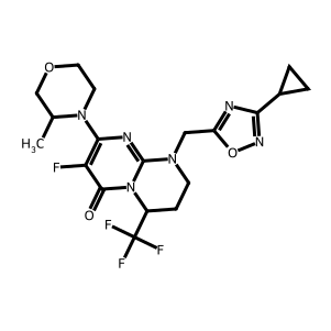 CC1COCCN1c1nc2n(c(=O)c1F)C(C(F)(F)F)CCN2Cc1nc(C2CC2)no1